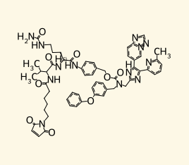 Cc1cccc(-c2nc(CN(Cc3cccc(Oc4ccccc4)c3)C(=O)OCc3ccc(NC(=O)[C@H](CCCNC(N)=O)NC(=O)C(NC(=O)CCCCCN4C(=O)C=CC4=O)C(C)C)cc3)[nH]c2-c2ccc3ncnn3c2)n1